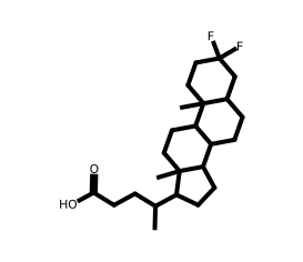 CC(CCC(=O)O)C1CCC2C3CCC4CC(F)(F)CCC4(C)C3CCC12C